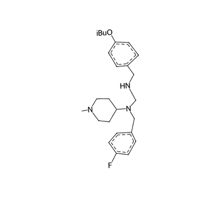 CC(C)COc1ccc(CNCN(Cc2ccc(F)cc2)C2CCN(C)CC2)cc1